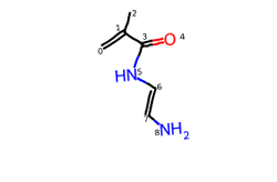 C=C(C)C(=O)N/C=C/N